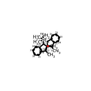 CC1=C(C)[CH]([Hf]([CH3])([CH3])(=[SiH2])[CH]2C(C)=C(C)c3ccccc32)c2ccccc21